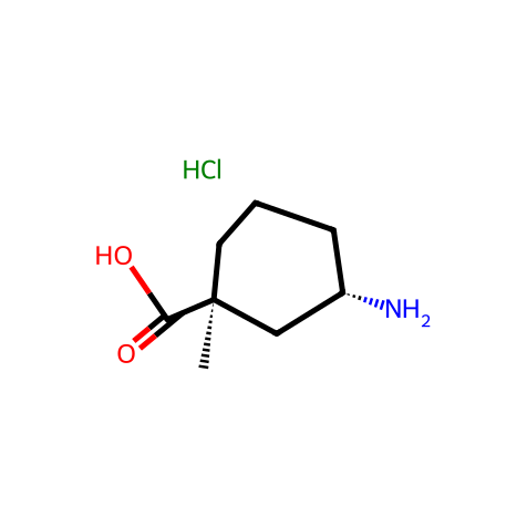 C[C@]1(C(=O)O)CCC[C@H](N)C1.Cl